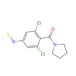 O=C(c1c(Cl)cc(N=S)cc1Cl)N1CCCC1